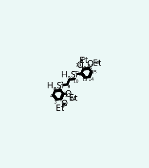 CCOc1cccc([SiH2]CCC[SiH2]c2cccc(OCC)c2OCC)c1OCC